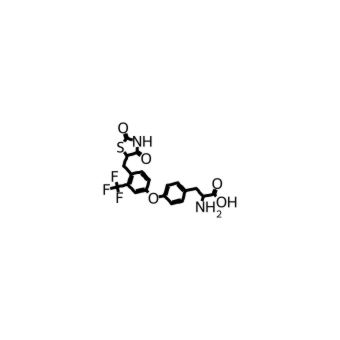 NC(Cc1ccc(Oc2ccc(CC3SC(=O)NC3=O)c(C(F)(F)F)c2)cc1)C(=O)O